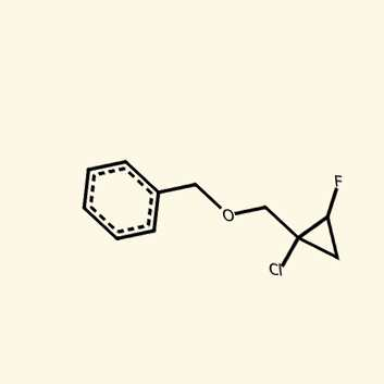 FC1CC1(Cl)COCc1ccccc1